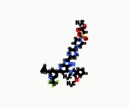 COCC1(CN(C)c2cc(-c3cc(C4CC4)nc(C(F)(F)F)c3)nc3nc(-c4cnc(N5CCN(S(=O)(=O)CC(=O)OC)CC5)cn4)[nH]c23)CCCC1